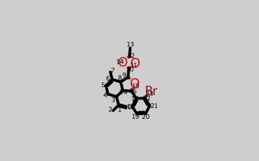 C=C(C)C1CC=C(C)C2C(C3OC(C)O3)OC(c3ccccc3Br)C12